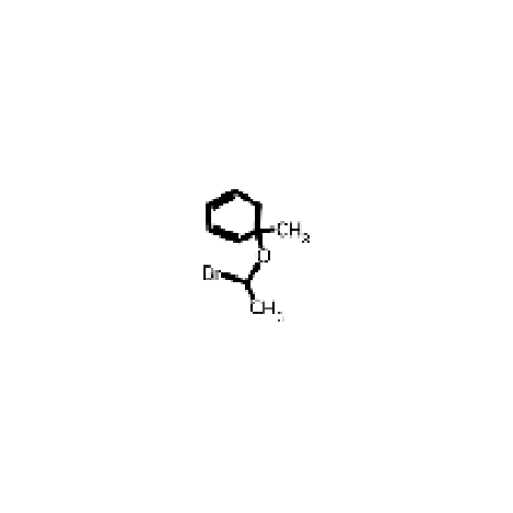 CC(Br)OC1(C)C=CC=CC1